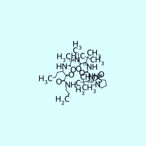 C=CCNC(=O)C(=O)C(CCC)NC(=O)[C@H](C)N(CC)C(=O)[C@@H](NC(=O)N[C@H](CN1CCCS1(=O)=O)C(C)(C)C)C(C)(C)C